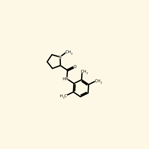 Cc1ccc(C)c(NC(=O)C2CCCN2C)c1C